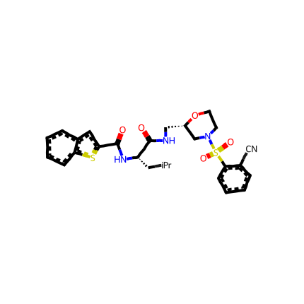 CC(C)C[C@H](NC(=O)c1cc2ccccc2s1)C(=O)NC[C@H]1CN(S(=O)(=O)c2ccccc2C#N)CCO1